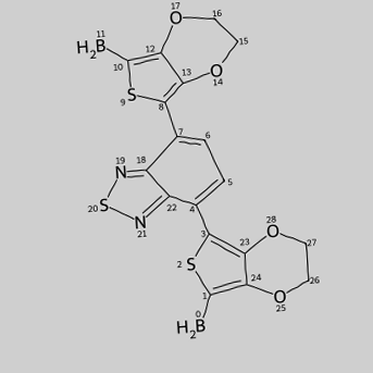 Bc1sc(-c2ccc(-c3sc(B)c4c3OCCO4)c3nsnc23)c2c1OCCO2